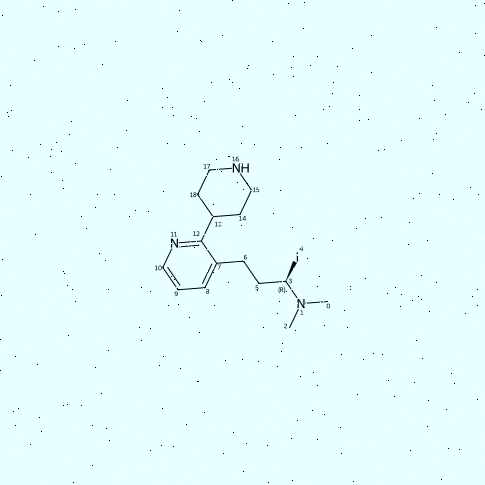 CN(C)[C@H](I)CCc1cccnc1C1CCNCC1